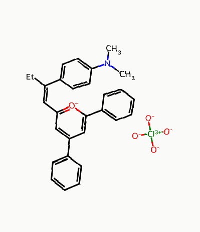 CCC(=Cc1cc(-c2ccccc2)cc(-c2ccccc2)[o+]1)c1ccc(N(C)C)cc1.[O-][Cl+3]([O-])([O-])[O-]